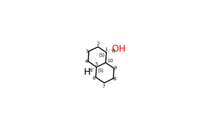 O[C@H]1CCC[C@@H]2CCCCC21